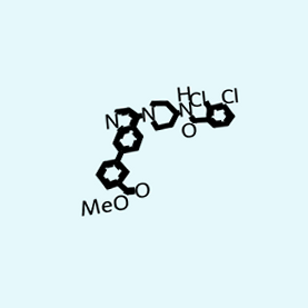 COC(=O)c1cccc(-c2ccc3c(N4CCC(NC(=O)c5cccc(Cl)c5Cl)CC4)ccnc3c2)c1